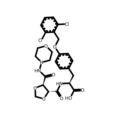 O=C(O)[C@H](Cc1ccc(OCc2c(Cl)cccc2Cl)cc1)NC(=O)[C@@H]1OCO[C@H]1C(=O)NN1CCOCC1